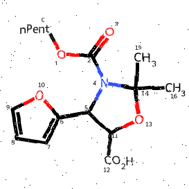 CCCCCOC(=O)N1C(c2ccco2)C(C(=O)O)OC1(C)C